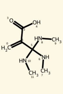 C=C(C(=O)O)C(NC)(NC)NC